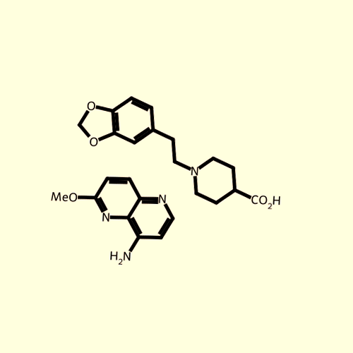 COc1ccc2nccc(N)c2n1.O=C(O)C1CCN(CCc2ccc3c(c2)OCO3)CC1